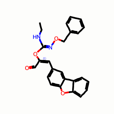 CCNC(=NOCc1ccccc1)O/C(C=O)=C/c1ccc2oc3ccccc3c2c1